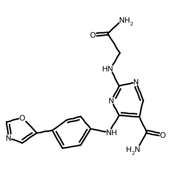 NC(=O)CNc1ncc(C(N)=O)c(Nc2ccc(-c3cnco3)cc2)n1